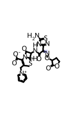 Nc1nc(/C(=N/OC2CCOC2=O)C(=O)NC2C(=O)N3C(C(=O)[O-])=C(C[n+]4ccccc4)CS[C@H]23)ns1